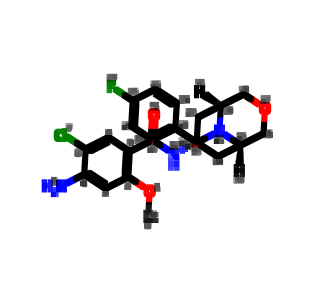 CCOc1cc(N)c(Cl)cc1C(=O)N[C@H]1C[C@H]2COC[C@@H](C1)N2Cc1ccc(F)cc1